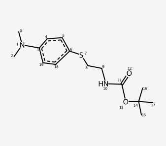 CN(C)c1ccc(SCCNC(=O)OC(C)(C)C)cc1